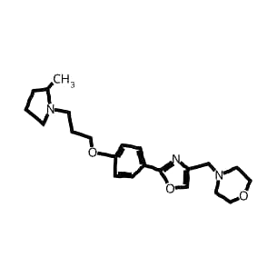 CC1CCCN1CCCOc1ccc(-c2nc(CN3CCOCC3)co2)cc1